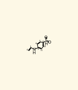 C=CNc1ccc([SH](=O)=O)cc1